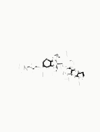 CCn1c(CNC(=O)c2nc3cc[nH]c3nc2N)[n+](CC)c2ccc(OCCCN)cc21